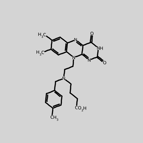 Cc1ccc(CN(CCCC(=O)O)CCn2c3nc(=O)[nH]c(=O)c-3nc3cc(C)c(C)cc32)cc1